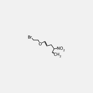 C=CC(C/C=C/OCCBr)[N+](=O)[O-]